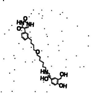 O=c1[nH]cc(-c2cccc(CCCCOCCCCCCNC[C@@H](O)c3ccc(O)c(CO)c3)c2)c(=O)[nH]1